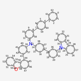 c1ccc(-c2ccc(-c3cccc(N(c4ccc(-c5cccc(-n6c7ccccc7c7ccccc76)c5)cc4)c4cccc(-c5cccc6oc7ccccc7c56)c4)c3)cc2)cc1